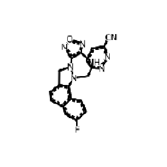 N#Cc1ccc(CN2c3c(ccc4cc(F)ccc34)CN2c2nonc2N)nn1